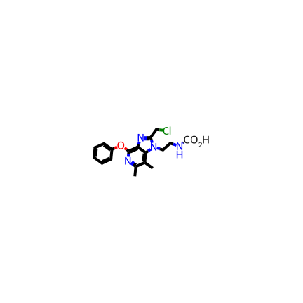 Cc1nc(Oc2ccccc2)c2nc(CCl)n(CCNC(=O)O)c2c1C